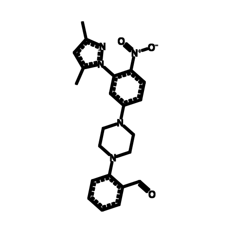 Cc1cc(C)n(-c2cc(N3CCN(c4ccccc4C=O)CC3)ccc2[N+](=O)[O-])n1